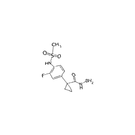 BNC(=O)C1(c2ccc(NS(C)(=O)=O)c(F)c2)CC1